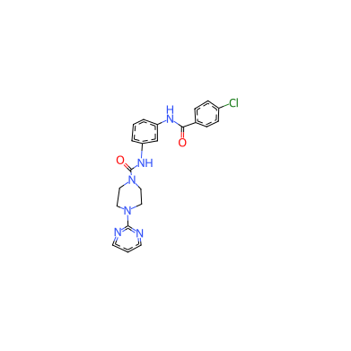 O=C(Nc1cccc(NC(=O)N2CCN(c3ncccn3)CC2)c1)c1ccc(Cl)cc1